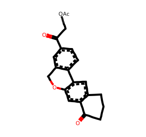 CC(=O)OCC(=O)c1ccc2c(c1)COc1cc3c(cc1-2)CCCC3=O